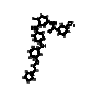 Cc1ccc(NC(=O)c2cccc(C(F)(F)F)c2)cc1Nc1cnc(Nc2cccc(OCCN3CCCC3)c2)nc1